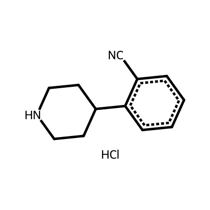 Cl.N#Cc1ccccc1C1CCNCC1